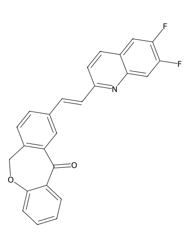 O=C1c2cc(C=Cc3ccc4cc(F)c(F)cc4n3)ccc2COc2ccccc21